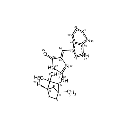 CC1(C)[C@H]2CC[C@@](C)(C2)[C@H]1NC1=N/C(=C\c2c[nH]c3ncccc23)C(=O)N1